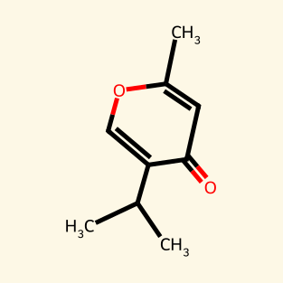 Cc1cc(=O)c(C(C)C)co1